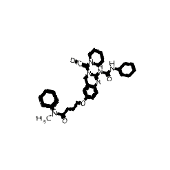 CN(C(=O)CCCOc1ccc2c(c1)CN(C(=C=O)N1CCCCC1)C(NC(=O)NC1CCCCC1)=N2)C1CCCCC1